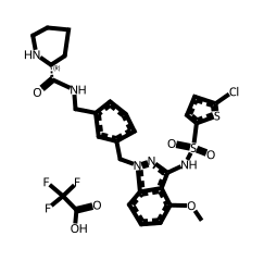 COc1cccc2c1c(NS(=O)(=O)c1ccc(Cl)s1)nn2Cc1cccc(CNC(=O)[C@H]2CCCCN2)c1.O=C(O)C(F)(F)F